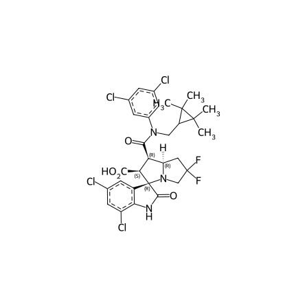 CC1(C)C(CN(C(=O)[C@H]2[C@H]3CC(F)(F)CN3[C@]3(C(=O)Nc4c(Cl)cc(Cl)cc43)[C@H]2C(=O)O)c2cc(Cl)cc(Cl)c2)C1(C)C